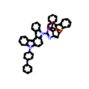 C1=C(c2cccc3c2sc2ccccc23)/N=C(n2c3ccccc3c3c4c5ccccc5n(-c5ccc(-c6ccccc6)cc5)c4ccc32)\N=C(\c2ccccc2)C2CC/12